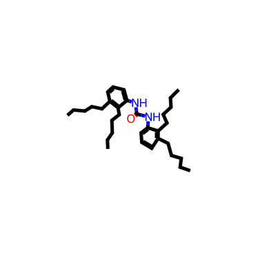 CCCCCc1cccc(NC(=O)Nc2cccc(CCCCC)c2CCCCC)c1CCCCC